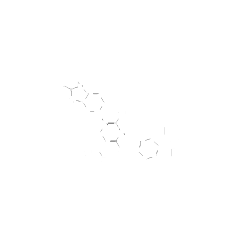 CCOC(=O)c1cn(-c2ccc3c(c2)sc(=O)n3C)c(=O)n(C2CCc3c2cccc3C(F)(F)F)c1=O